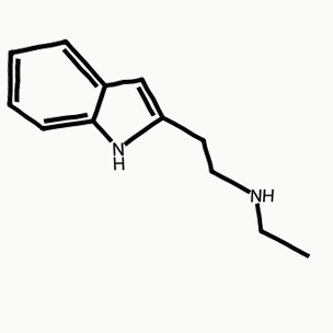 CCNCCc1cc2ccccc2[nH]1